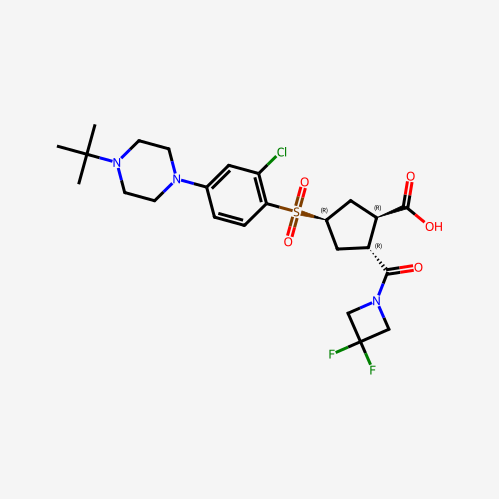 CC(C)(C)N1CCN(c2ccc(S(=O)(=O)[C@H]3C[C@@H](C(=O)O)[C@H](C(=O)N4CC(F)(F)C4)C3)c(Cl)c2)CC1